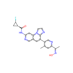 C/C(=N/O)c1cc(C)c(-c2cc3cnc(NC(=O)[C@H]4C[C@H]4F)cc3n3ccnc23)cn1